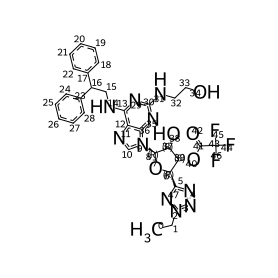 CCn1nnc([C@H]2O[C@@H](n3cnc4c(NCC(c5ccccc5)c5ccccc5)nc(NCCO)nc43)[C@H](O)[C@@H]2OC(=O)C(F)(F)F)n1